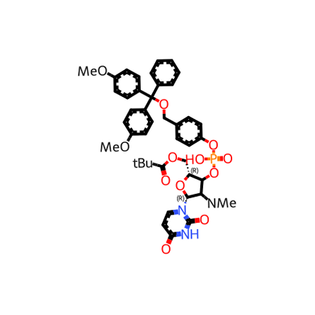 CNC1C(OP(=O)(O)Oc2ccc(COC(c3ccccc3)(c3ccc(OC)cc3)c3ccc(OC)cc3)cc2)[C@@H](COC(=O)C(C)(C)C)O[C@H]1n1ccc(=O)[nH]c1=O